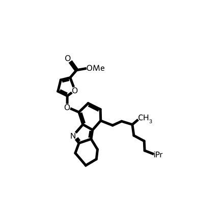 COC(=O)c1ccc(OC2=C3N=C4CCCCC4=C3C(CCC(C)CCCC(C)C)C=C2)o1